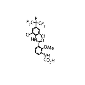 COc1c(NC(=O)O)cccc1C(=O)Nc1c(Cl)cc(C(F)(C(F)(F)F)C(F)(F)F)cc1Cl